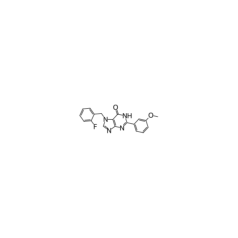 COc1cccc(-c2nc3ncn(Cc4ccccc4F)c3c(=O)[nH]2)c1